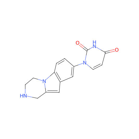 O=c1ccn(-c2ccc3c(c2)cc2n3CCNC2)c(=O)[nH]1